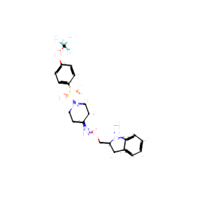 O=S(=O)(c1ccc(OC(F)(F)F)cc1)N1CCC(=NOCC2Cc3ccccc3N2)CC1